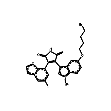 CC(C)n1cc(C2=C(c3cc(F)cc4ccoc34)C(=O)NC2=O)c2cc(OCCCCBr)ccc21